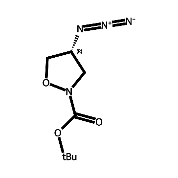 CC(C)(C)OC(=O)N1C[C@@H](N=[N+]=[N-])CO1